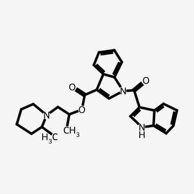 CC(CN1CCCCC1C)OC(=O)c1cn(C(=O)c2c[nH]c3ccccc23)c2ccccc12